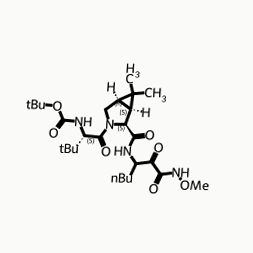 CCCCC(NC(=O)[C@@H]1[C@H]2[C@@H](CN1C(=O)[C@@H](NC(=O)OC(C)(C)C)C(C)(C)C)C2(C)C)C(=O)C(=O)NOC